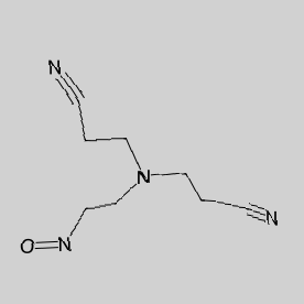 N#CCCN(CCC#N)CCN=O